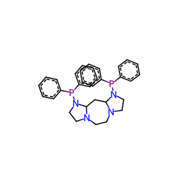 c1ccc(P(c2ccccc2)N2CCN3CCN4CCN(P(c5ccccc5)c5ccccc5)C4CC32)cc1